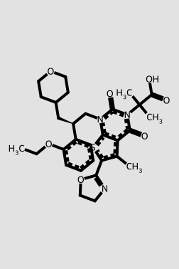 CCOc1ccccc1[C@@H](CC1CCOCC1)Cn1c(=O)n(C(C)(C)C(=O)O)c(=O)c2c(C)c(C3=NCCO3)sc21